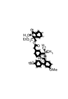 CCOC(=O)[C@]1(COC(=O)Cc2ccc(NC(=O)c3ccc(OC)cc3-c3ccc(C(C)(C)C)cc3)c(C(=O)N(C)C)c2)c2ccccc2C(=O)N1C